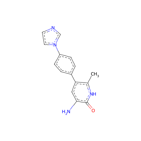 Cc1[nH]c(=O)c(N)cc1-c1ccc(-n2ccnc2)cc1